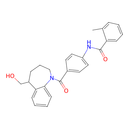 Cc1ccccc1C(=O)Nc1ccc(C(=O)N2CCCC(CO)c3ccccc32)cc1